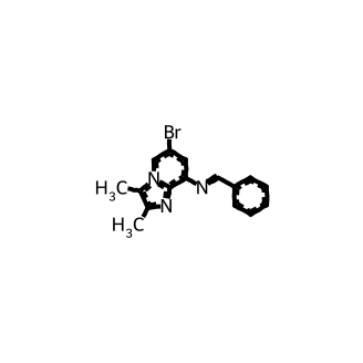 Cc1nc2c(N=Cc3ccccc3)cc(Br)cn2c1C